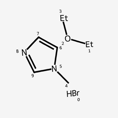 Br.CCOCC.Cn1ccnc1